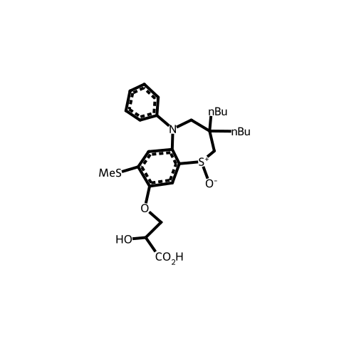 CCCCC1(CCCC)CN(c2ccccc2)c2cc(SC)c(OCC(O)C(=O)O)cc2[S+]([O-])C1